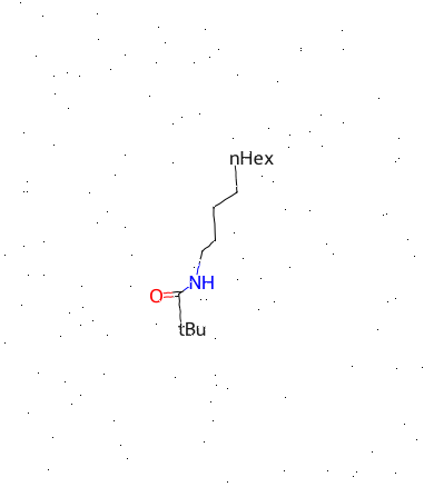 CCCCCCCCCCNC(=O)C(C)(C)C